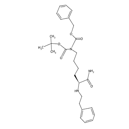 CC(C)(C)OC(=O)N(CCCC[C@H](NCCc1ccccc1)C(N)=O)C(=O)OCc1ccccc1